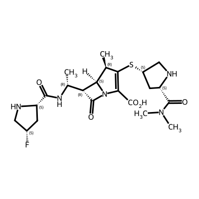 C[C@@H](NC(=O)[C@@H]1C[C@H](F)CN1)[C@H]1C(=O)N2C(C(=O)O)=C(S[C@@H]3CN[C@H](C(=O)N(C)C)C3)[C@H](C)[C@H]12